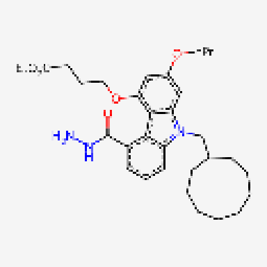 CCCOc1cc(OCCCC(=O)OCC)c2c3c(C(=O)NN)cccc3n(CC3CCCCCCCC3)c2c1